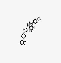 COc1ccc(-n2c(C)nc3c(NCCN4CCN(c5cccc(C)c5C)CC4)ncnc32)cc1